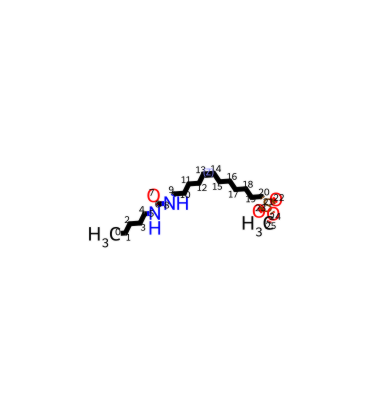 CCCCCNC(=O)NCCCC/C=C\CCCCCCS(=O)(=O)OC